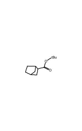 CC(C)(C)OC(=O)C1CC2CCC1C2